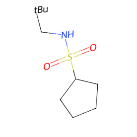 CC(C)(C)CNS(=O)(=O)C1CCCC1